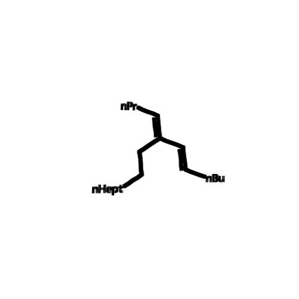 CCCC=C(C=CCCCC)CCCCCCCCC